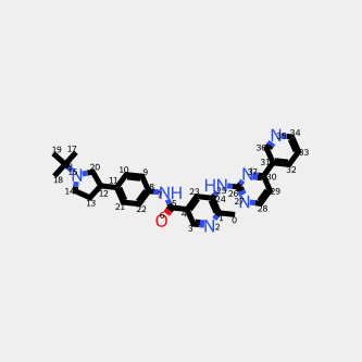 Cc1ncc(C(=O)Nc2ccc(C3CCN(C(C)(C)C)C3)cc2)cc1Nc1nccc(-c2cccnc2)n1